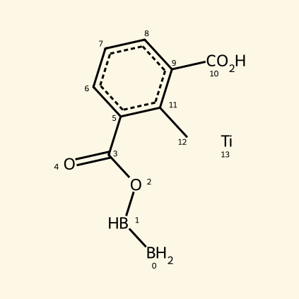 BBOC(=O)c1cccc(C(=O)O)c1C.[Ti]